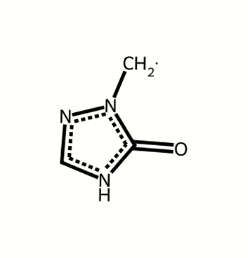 [CH2]n1nc[nH]c1=O